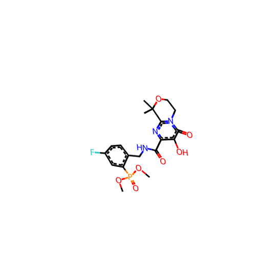 COP(=O)(OC)c1cc(F)ccc1CNC(=O)c1nc2n(c(=O)c1O)CCOC2(C)C